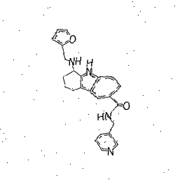 O=C(NCc1cccnc1)c1ccc2[nH]c3c(c2c1)CCCC3NCc1ccco1